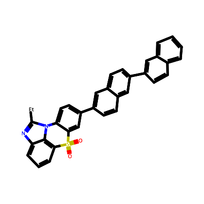 CCc1nc2cccc3c2n1-c1ccc(-c2ccc4cc(-c5ccc6ccccc6c5)ccc4c2)cc1S3(=O)=O